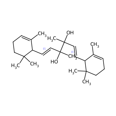 CC1=CCCC(C)(C)C1/C=C/C(C)(O)C(C)(O)/C=C/C1C(C)=CCCC1(C)C